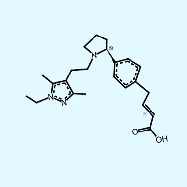 CCn1nc(C)c(CCN2CCC[C@H]2c2ccc(C/C=C/C(=O)O)cc2)c1C